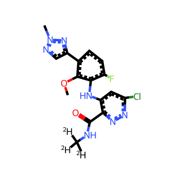 [2H]C([2H])([2H])NC(=O)c1nnc(Cl)cc1Nc1c(F)ccc(-c2cnn(C)n2)c1OC